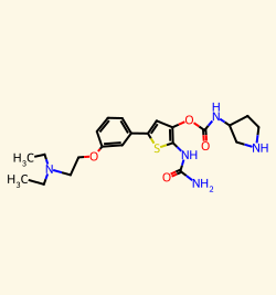 CCN(CC)CCOc1cccc(-c2cc(OC(=O)NC3CCNC3)c(NC(N)=O)s2)c1